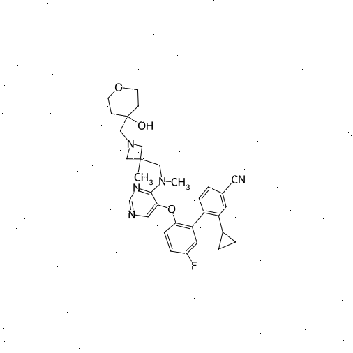 CN(CC1(C)CN(CC2(O)CCOCC2)C1)c1ncncc1Oc1ccc(F)cc1-c1ccc(C#N)cc1C1CC1